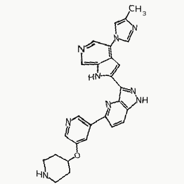 Cc1cn(-c2cncc3[nH]c(-c4n[nH]c5ccc(-c6cncc(OC7CCNCC7)c6)nc45)cc23)cn1